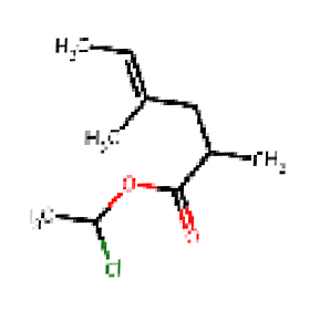 C/C=C(\C)CC(C)C(=O)OC(C)Cl